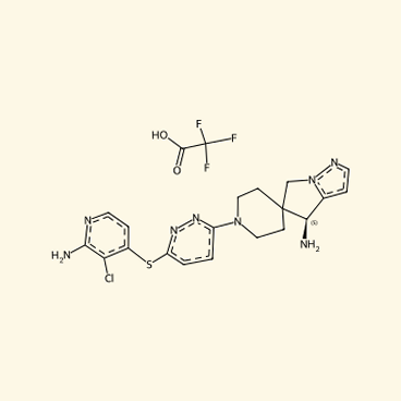 Nc1nccc(Sc2ccc(N3CCC4(CC3)Cn3nccc3[C@H]4N)nn2)c1Cl.O=C(O)C(F)(F)F